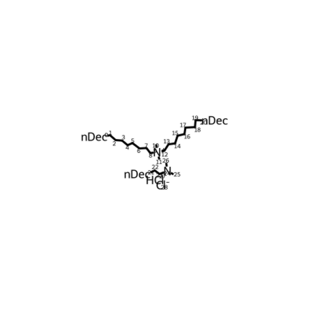 CCCCCCCCCCCCCCCCCC[N+](C)(C)CCCCCCCCCCCCCCCCCC.CCCCCCCCCCCCN(C)C.Cl.[Cl-]